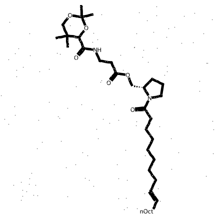 CCCCCCCCC=CCCCCCCCC(=O)N1CCC[C@H]1COC(=O)CCNC(=O)C1OC(C)(C)OCC1(C)C